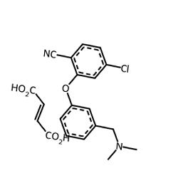 CN(C)Cc1cccc(Oc2cc(Cl)ccc2C#N)c1.O=C(O)C=CC(=O)O